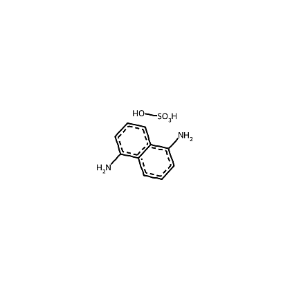 Nc1cccc2c(N)cccc12.O=S(=O)(O)O